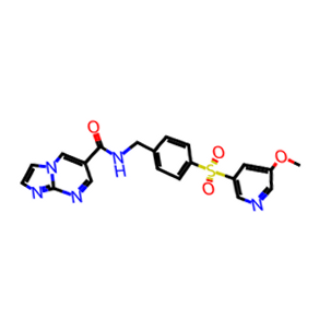 COc1cncc(S(=O)(=O)c2ccc(CNC(=O)c3cnc4nccn4c3)cc2)c1